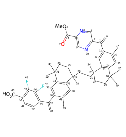 C=C(c1cnc(C(=O)OC)cn1)c1cc2c(cc1C)C(C)(C)CCC2(C)CCC1(C)CCC(C)(C)c2cc(C(=C)c3ccc(C(=O)O)c(F)c3F)c(C)cc21